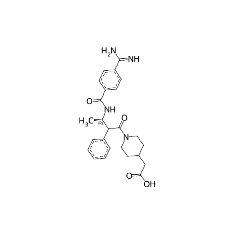 C[C@@H](NC(=O)c1ccc(C(=N)N)cc1)C(C(=O)N1CCC(CC(=O)O)CC1)c1ccccc1